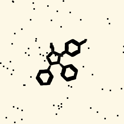 Fc1ccc([SH]2[C@H](c3ccccc3)[C@H](c3ccccc3)S[PH]2=S)cc1